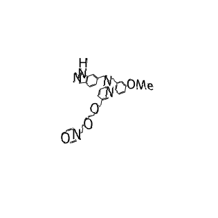 COc1cccc(CN(Cc2ccc3cn[nH]c3c2)c2ccc(COCCOCCN3CCOCC3)cn2)c1